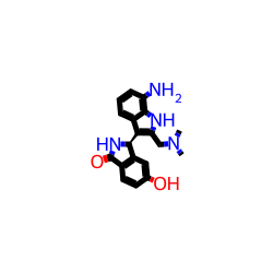 CN(C)Cc1[nH]c2c(N)cccc2c1[C@@H]1NC(=O)c2ccc(O)cc21